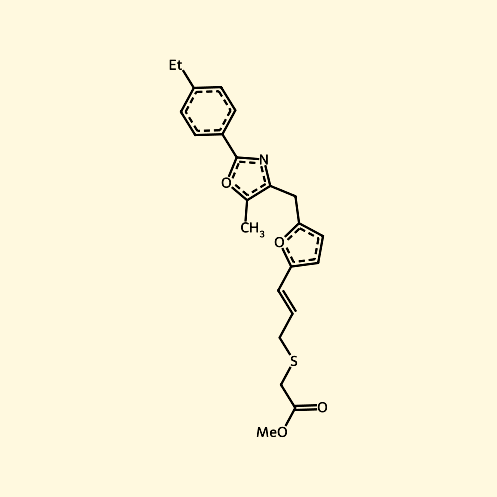 CCc1ccc(-c2nc(Cc3ccc(/C=C/CSCC(=O)OC)o3)c(C)o2)cc1